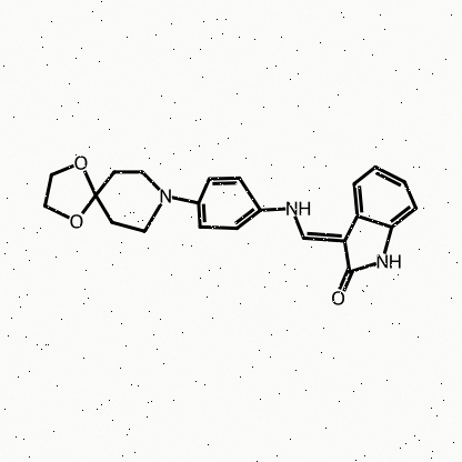 O=C1Nc2ccccc2/C1=C\Nc1ccc(N2CCC3(CC2)OCCO3)cc1